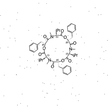 CC(C)[C@H]1C(=O)O[C@H](Cc2ccccc2)C(=O)N(C)[C@@H](C(C)C)C(=O)O[C@H](Cc2ccccc2)C(=O)N(C)[C@@H](C(C)C)C(=O)O[C@H](Cc2ccccc2)C(=O)N1C